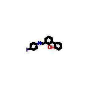 Oc1c(C=Nc2ccc(I)cc2)cccc1-c1ccccc1